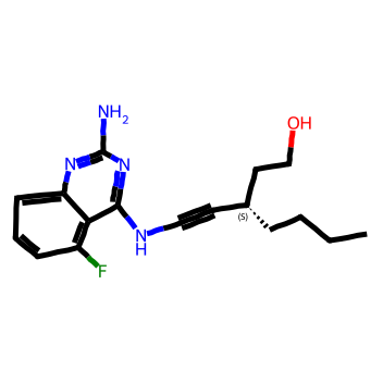 CCCC[C@H](C#CNc1nc(N)nc2cccc(F)c12)CCO